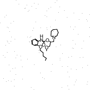 CCCCCOc1ccccc1NC(=O)OC(COC)CN1CCCCCC1